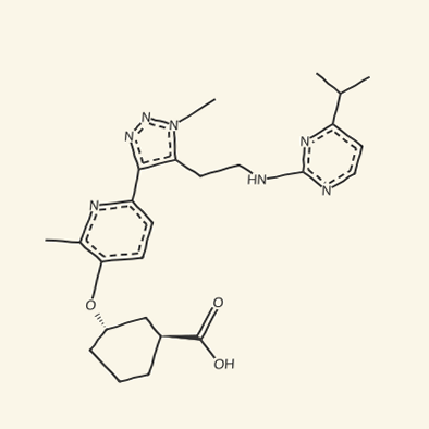 Cc1nc(-c2nnn(C)c2CCNc2nccc(C(C)C)n2)ccc1O[C@H]1CCC[C@H](C(=O)O)C1